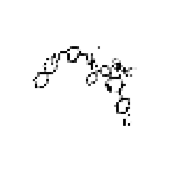 O=C(NCCc1ccc(CN2CCC3(CCCCC3)CC2)cc1)Oc1ccc(-c2ccc(Cl)cc2)cc1[N+](=O)[O-]